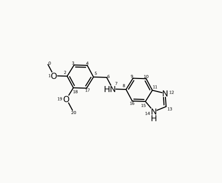 COc1ccc(CNc2ccc3nc[nH]c3c2)cc1OC